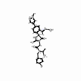 CC(N(Cc1ccc(F)cc1)C(=O)CN1C(=O)N[C@]2(C/C(=N\O)c3cc(-c4cnn(C)c4)ccc32)C1=O)C(F)(F)F